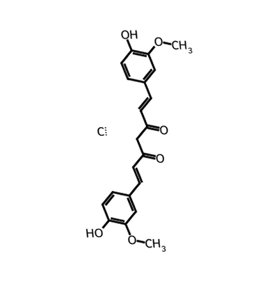 COc1cc(/C=C/C(=O)CC(=O)/C=C/c2ccc(O)c(OC)c2)ccc1O.[C]